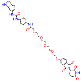 O=C1CCC(N2C(=O)c3ccc(OCCOCCOCCOCCOCC(=O)Nc4ccc(NC(=O)Nc5ccc6cc[nH]c6c5)cc4)cc3C2=O)C(=O)N1